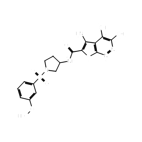 COc1cccc(S(=O)(=O)N2CCC(NC(=O)c3sc4nnc(C)c(C)c4c3N)C2)c1